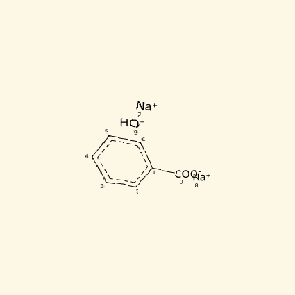 O=C([O-])c1ccccc1.[Na+].[Na+].[OH-]